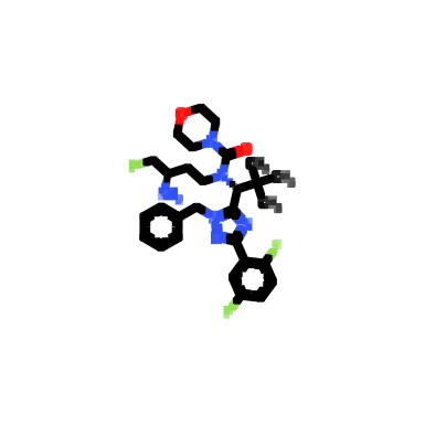 CC(C)(C)[C@H](c1nc(-c2cc(F)ccc2F)nn1Cc1ccccc1)N(CC[C@@H](N)CF)C(=O)N1CCOCC1